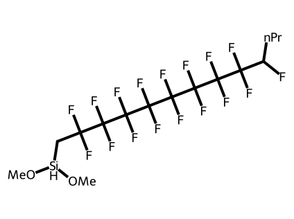 CCCC(F)C(F)(F)C(F)(F)C(F)(F)C(F)(F)C(F)(F)C(F)(F)C(F)(F)C(F)(F)C[SiH](OC)OC